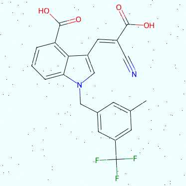 Cc1cc(Cn2cc(/C=C(\C#N)C(=O)O)c3c(C(=O)O)cccc32)cc(C(F)(F)F)c1